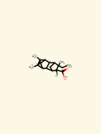 CCC1(C)C2CC(C3C4CC(C(C)=C4C)C32)C1(F)C(=O)O